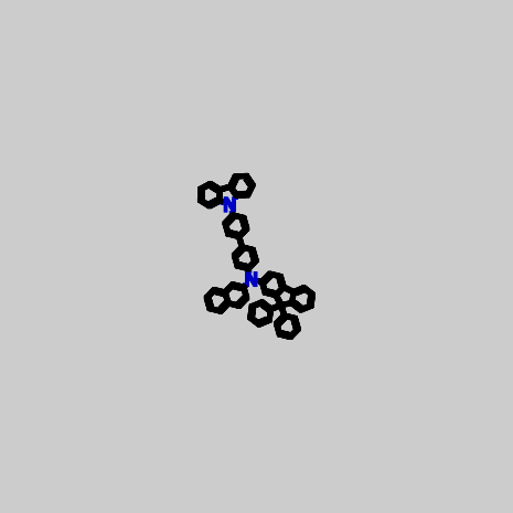 c1ccc(C2(c3ccccc3)c3ccccc3-c3ccc(N(c4ccc(-c5ccc(-n6c7ccccc7c7ccccc76)cc5)cc4)c4ccc5ccccc5c4)cc32)cc1